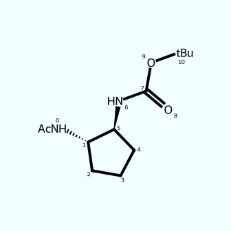 CC(=O)N[C@H]1CCC[C@@H]1NC(=O)OC(C)(C)C